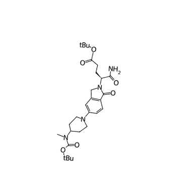 CN(C(=O)OC(C)(C)C)C1CCN(c2ccc3c(c2)CN([C@@H](CCC(=O)OC(C)(C)C)C(N)=O)C3=O)CC1